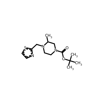 CC1CN(C(=O)OC(C)(C)C)CCN1Cc1nccs1